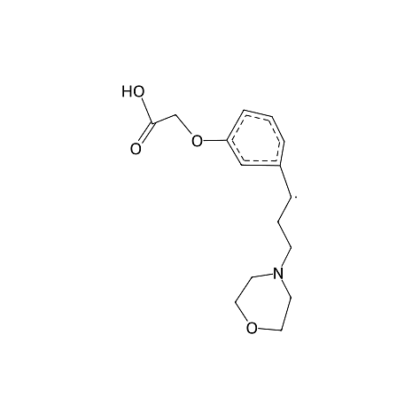 O=C(O)COc1cccc([CH]CCN2CCOCC2)c1